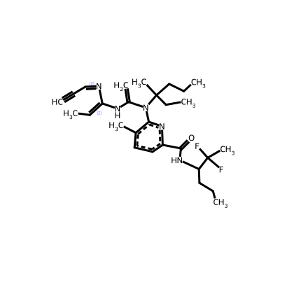 C#C/C=N\C(=C/C)NC(=C)N(c1nc(C(=O)NC(CCC)C(C)(F)F)ccc1C)C(C)(CC)CCC